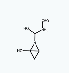 O=CNC(O)N1C2CC21O